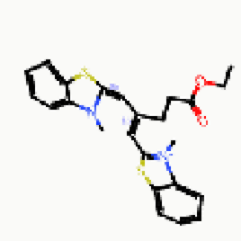 CCOC(=O)CCC(=C\c1sc2ccccc2[n+]1C)/C=C1/Sc2ccccc2N1C